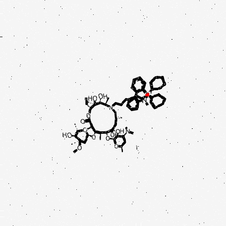 CC[C@H]1OC(=O)[C@H](C)[C@@H](O[C@H]2C[C@@](C)(OC)[C@@H](O)[C@H](C)O2)[C@H](C)[C@@H](O[C@@H]2O[C@H](C)C[C@H](N(C)C)[C@H]2O)[C@](C)(O)C[C@@H](C)CN(CCCCCC[P+](c2ccccc2-c2ccccc2N(C)C)(C2CCCCC2)C2CCCCC2)[C@H](C)[C@@H](O)[C@]1(C)O.[I-]